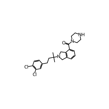 CC(C)(CCc1ccc(Cl)c(Cl)c1)N1Cc2cccc(C(=O)N3CCNCC3)c2C1